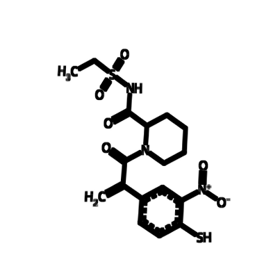 C=C(C(=O)N1CCCCC1C(=O)NS(=O)(=O)CC)c1ccc(S)c([N+](=O)[O-])c1